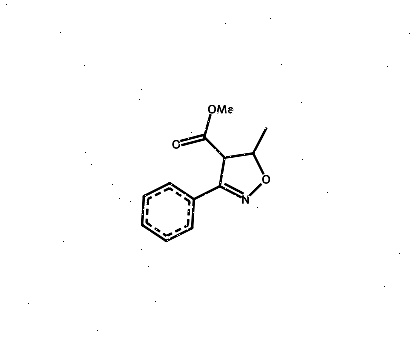 COC(=O)C1C(c2ccccc2)=NOC1C